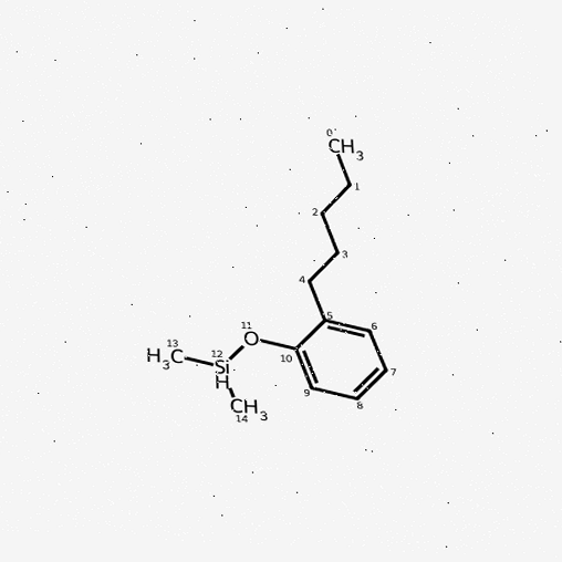 CCCCCc1ccccc1O[SiH](C)C